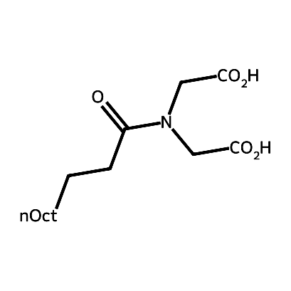 CCCCCCCCCCC(=O)N(CC(=O)O)CC(=O)O